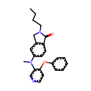 CCCCN1Cc2cc(N(C)c3cnccc3Oc3ccccc3)ccc2C1=O